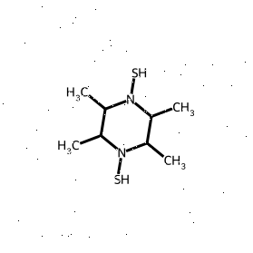 CC1C(C)N(S)C(C)C(C)N1S